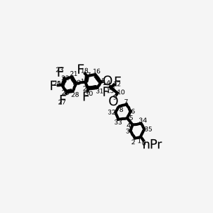 CCCC1CCC(C2CCC(OCC(F)(F)Oc3cc(F)c(-c4cc(F)c(F)c(F)c4)c(F)c3)CC2)CC1